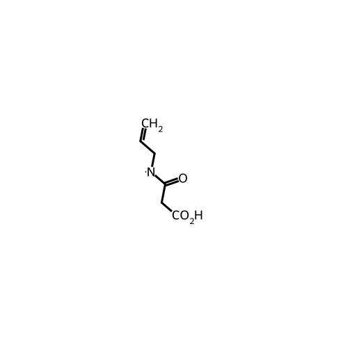 C=CC[N]C(=O)CC(=O)O